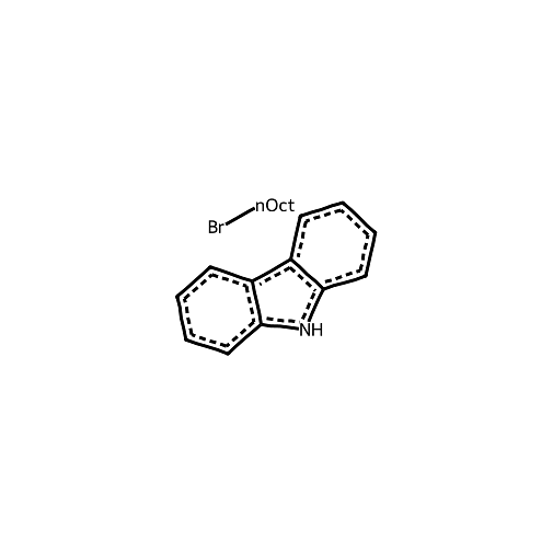 CCCCCCCCBr.c1ccc2c(c1)[nH]c1ccccc12